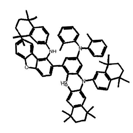 Cc1ccccc1N(c1cc(-c2ccc3oc4ccccc4c3c2Nc2ccc3c(c2)C(C)(C)CCC3(C)C)c2c(c1)N(c1ccc3c(c1)C(C)(C)CCC3(C)C)c1cc3c(cc1B2)C(C)(C)CCC3(C)C)c1ccccc1C